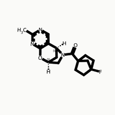 Cc1ncc2c(n1)O[C@H]1C[C@@H]2N(C(=O)C23CCC(F)(CC2)C3)C1